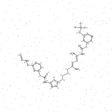 N/C(=C\C=C(/N)NC(=O)Cc1cccc(OC(F)(F)F)c1)CCCCc1nnc(NC(=O)Cc2cccc(CNC=O)c2)s1